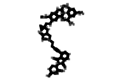 CNC(=O)C(COCCC#Cc1cccc2c1C(=O)N(C1CCC(=O)NC1=O)C2=O)CC1(COc2cc3c(NC(C)c4cc(N)cc(C(F)(F)F)c4)nc(C)nc3cc2OC)CC1